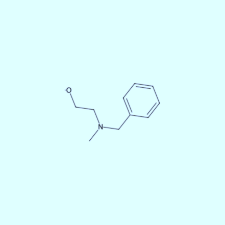 CN(CC[O])Cc1ccccc1